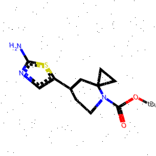 CC(C)(C)OC(=O)N1CCC(c2cnc(N)s2)CC12CC2